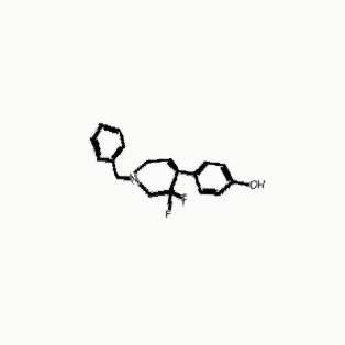 Oc1ccc(C2=CCN(Cc3ccccc3)CC2(F)F)cc1